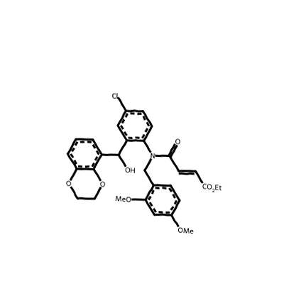 CCOC(=O)/C=C/C(=O)N(Cc1ccc(OC)cc1OC)c1ccc(Cl)cc1C(O)c1cccc2c1OCCO2